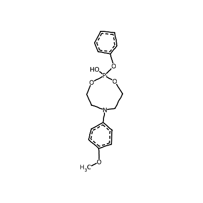 COc1ccc(N2CCO[P](O)(Oc3ccccc3)OCC2)cc1